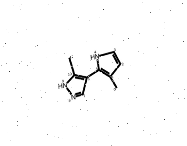 Cc1cc[nH]c1-c1cn[nH]c1C